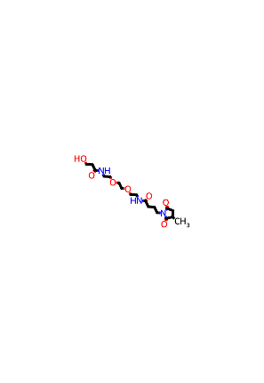 CC1CC(=O)N(CCCC(=O)NCCOCCOCCNC(=O)CCO)C1=O